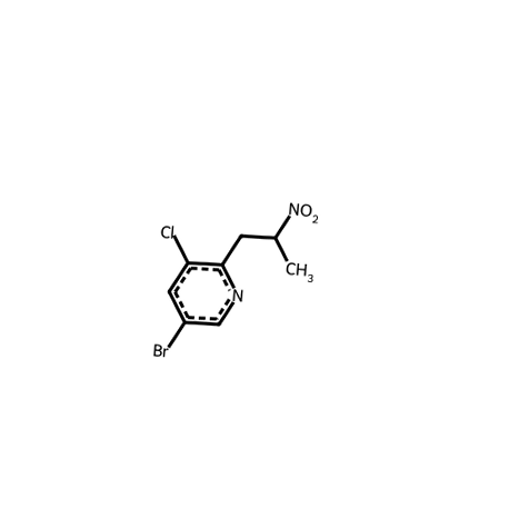 CC(Cc1ncc(Br)cc1Cl)[N+](=O)[O-]